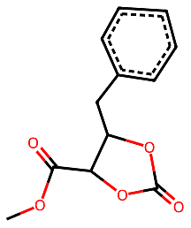 COC(=O)C1OC(=O)OC1Cc1ccccc1